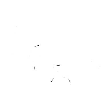 CC[C@]1(O)CC[C@@]2(C)[C@@H](CC[C@@H]3[C@@H]2CC[C@]2(C)[C@@H]([C@H](C)CCC[C@@H](O)C(F)(F)F)CC[C@@H]32)C1